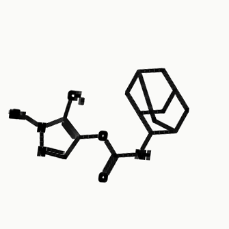 CC(C)(C)n1ncc(OC(=O)NC2C3CC4CC(C3)CC2C4)c1C(F)(F)F